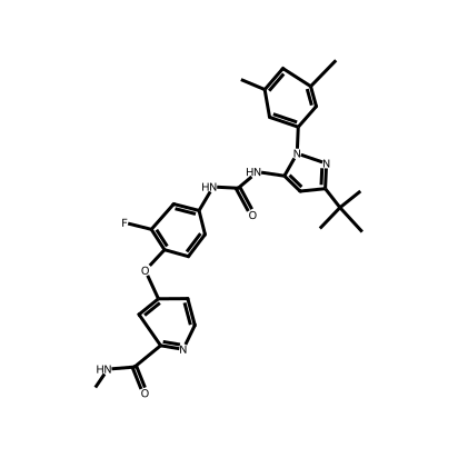 CNC(=O)c1cc(Oc2ccc(NC(=O)Nc3cc(C(C)(C)C)nn3-c3cc(C)cc(C)c3)cc2F)ccn1